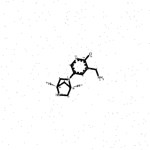 NCc1cc(N2C[C@H]3C[C@@H]2CN3)cnc1Cl